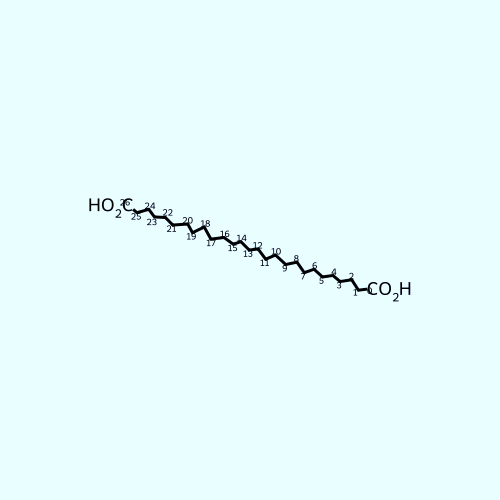 O=C(O)CCCCCCCCCCCCCCCCCCCCCCCCCC(=O)O